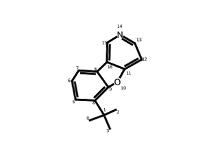 CC(C)(C)c1cccc2c1oc1ccncc12